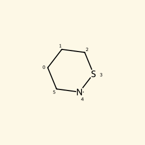 C1CCS[N]C1